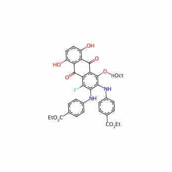 CCCCCCCCOc1c(Nc2ccc(C(=O)OCC)cc2)c(Nc2ccc(C(=O)OCC)cc2)c(F)c2c1C(=O)c1c(O)ccc(O)c1C2=O